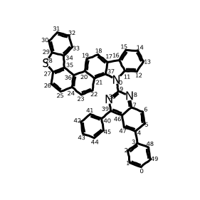 c1ccc(-c2ccc3nc(-n4c5ccccc5c5ccc6c(ccc7ccc8sc9ccccc9c8c76)c54)nc(-c4ccccc4)c3c2)cc1